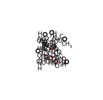 Cc1cccc(C)c1OCC(=O)N[C@@H](Cc1ccccc1)[C@H](C[C@H](Cc1ccccc1)NC(=O)[C@H](C(C)C)N1CCCNC1=O)OCOP(=O)(OCO[C@@H](C[C@H](Cc1ccccc1)NC(=O)[C@H](C(C)C)N1CCCNC1=O)[C@H](Cc1ccccc1)NC(=O)COc1c(C)cccc1C)OCO[C@@H](C[C@H](Cc1ccccc1)NC(=O)[C@H](C(C)C)N1CCCNC1=O)[C@H](Cc1ccccc1)NC(=O)COc1c(C)cccc1C